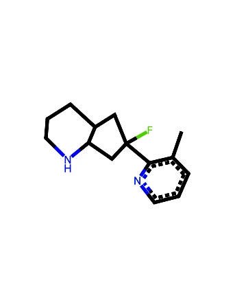 Cc1cccnc1C1(F)CC2CCCNC2C1